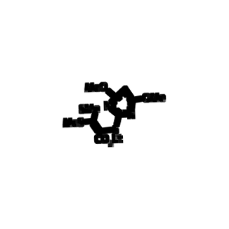 CCOC(=O)C(Sc1nc(OC)cc(OC)n1)=C(SC)SC